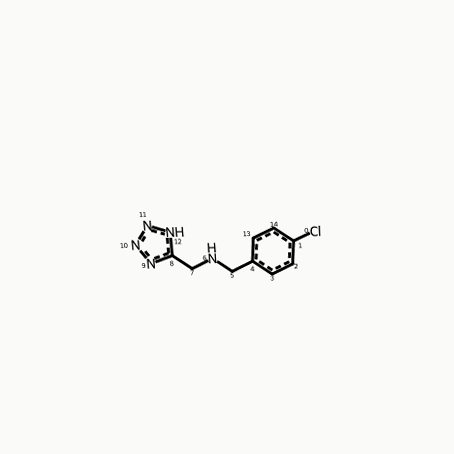 Clc1ccc(CNCc2nnn[nH]2)cc1